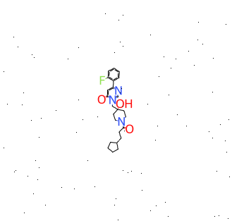 O=C(CCC1CCCC1)N1CCC(O)(Cn2cnc(-c3ccccc3F)cc2=O)CC1